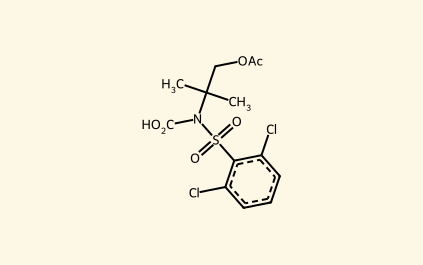 CC(=O)OCC(C)(C)N(C(=O)O)S(=O)(=O)c1c(Cl)cccc1Cl